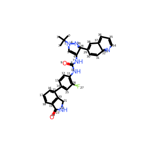 CC(C)(C)n1cc(NC(=O)Nc2ccc(-c3cccc4c3CNC4=O)cc2F)c(-c2ccc3ncccc3c2)n1